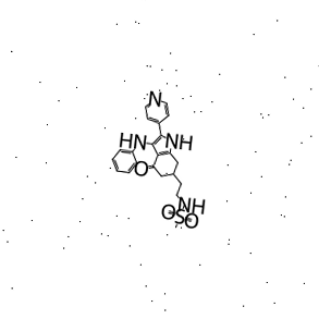 CS(=O)(=O)NCCC1CC(=O)c2c([nH]c(-c3ccncc3)c2Nc2ccccc2)C1